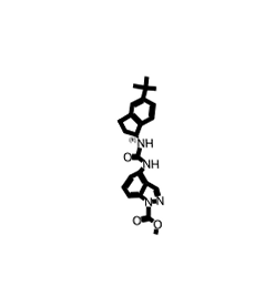 COC(=O)n1ncc2c(NC(=O)N[C@@H]3CCc4cc(C(C)(C)C)ccc43)cccc21